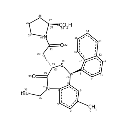 Cc1ccc2c(c1)[C@H](c1cccc3ccccc13)S[C@@H](CC(=O)N1CCC[C@H]1C(=O)O)C(=O)N2CC(C)(C)C